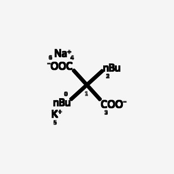 CCCCC(CCCC)(C(=O)[O-])C(=O)[O-].[K+].[Na+]